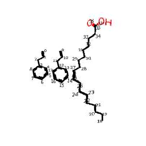 C=CCc1ccccc1.C=CCc1ccccc1.CCCCCCCC/C=C\CCCCCCCC(=O)O